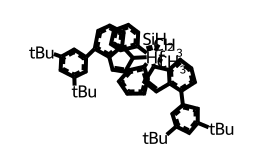 CC(C)(C)c1cc(-c2cccc3c2C=C[CH]3[Hf]([CH3])([CH3])(=[SiH2])([c]2ccccc2)([c]2ccccc2)[CH]2C=Cc3c(-c4cc(C(C)(C)C)cc(C(C)(C)C)c4)cccc32)cc(C(C)(C)C)c1